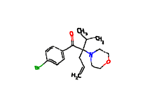 C=CCC(C(=O)c1ccc(Br)cc1)(C(C)C)N1CCOCC1